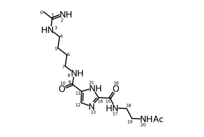 CC(=N)NCCCCNC(=O)c1cnc(C(=O)NCCNC(C)=O)[nH]1